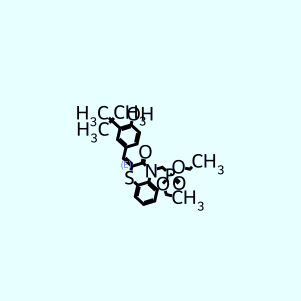 CCOP(=O)(CN1C(=O)/C(=C\c2ccc(O)c(C(C)(C)C)c2)Sc2ccccc21)OCC